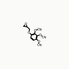 N#COc1ccc(OCC2CO2)c(OC#N)c1OC#N